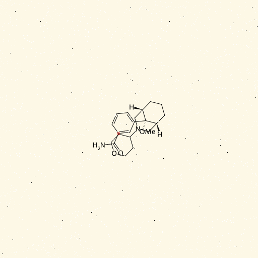 CO[C@@]1(c2cccc(C(N)=O)c2)[C@@H]2CCC[C@H]1CN(C1CCOCC1)C2